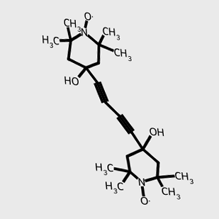 CC1(C)CC(O)(C#CC#CC2(O)CC(C)(C)N([O])C(C)(C)C2)CC(C)(C)N1[O]